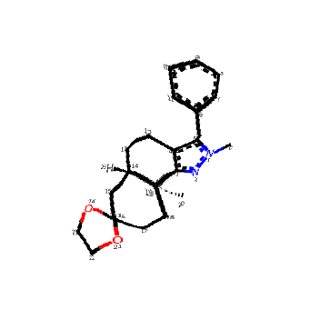 Cn1nc2c(c1-c1ccccc1)CC[C@H]1CC3(CC[C@]21C)OCCO3